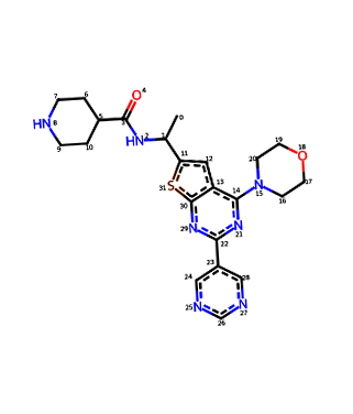 CC(NC(=O)C1CCNCC1)c1cc2c(N3CCOCC3)nc(-c3cncnc3)nc2s1